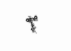 COC(=O)[C@@H](Cc1c[nH]c2ccccc12)NP(=O)(OC[C@H]1OC[C@@H](n2ccc(N)nc2=O)O1)Oc1ccccc1